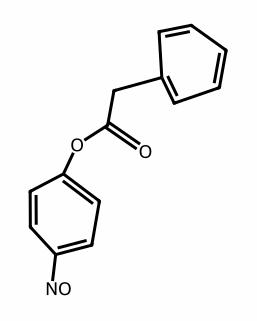 O=Nc1ccc(OC(=O)Cc2ccccc2)cc1